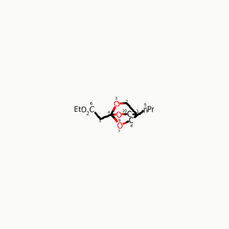 CCCC12COC(CC(=O)OCC)(OC1)OC2